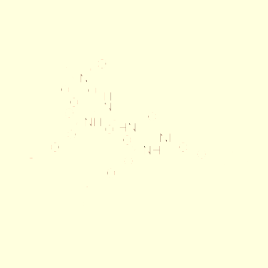 O=C(CNC(=O)C(NCOCOCc1ccccc1)NC(=O)OCOCc1ccccc1)NC(NC(=O)OCOCc1ccccc1)C(=O)ON1C(=O)CCC1=O